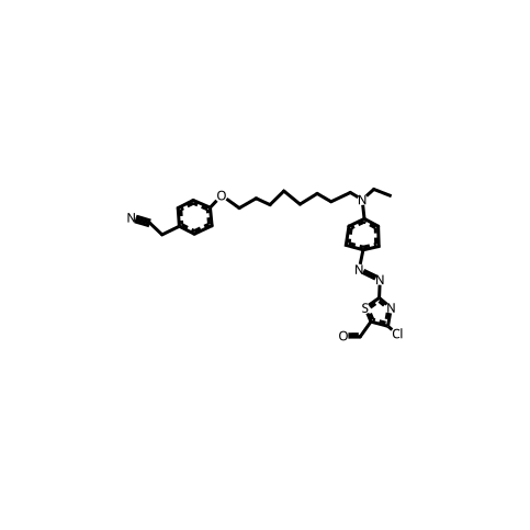 CCN(CCCCCCCCOc1ccc(CC#N)cc1)c1ccc(/N=N/c2nc(Cl)c(C=O)s2)cc1